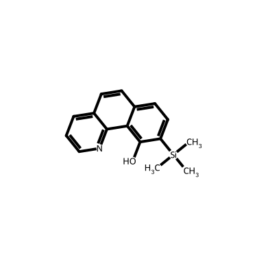 C[Si](C)(C)c1ccc2ccc3cccnc3c2c1O